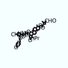 CC(C)C1=C2C3CCC4C(C)(CCC5C(C)C(OC(=O)C6CC(C=O)C6C)CCC54C)C3CCC2(NC(=O)C(C)(C)NC(=O)c2ccc(Cl)cc2OCCN2CC[S+]([O-])CC2)CC1=O